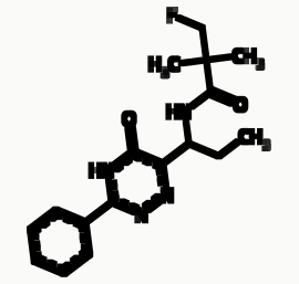 CCC(NC(=O)C(C)(C)CF)c1nnc(-c2ccccc2)[nH]c1=O